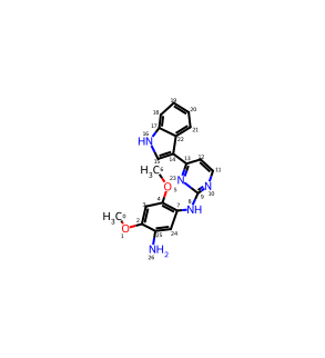 COc1cc(OC)c(Nc2nccc(-c3c[nH]c4ccccc34)n2)cc1N